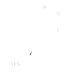 CC(C)c1c(O)cc2c(c1F)CC[C@@H](CCN)CC2